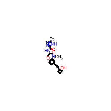 CCc1nnc(C(=O)N[C@H]2COc3ccc(C#CC4(O)CCC4)cc3N(C)C2=O)[nH]1